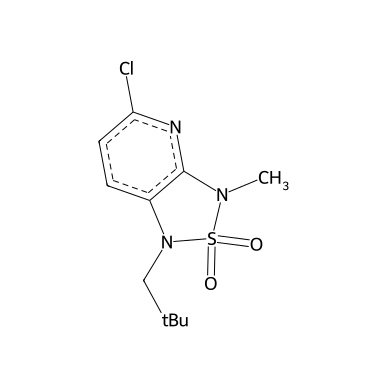 CN1c2nc(Cl)ccc2N(CC(C)(C)C)S1(=O)=O